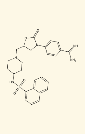 N=C(N)c1ccc(N2CC(CN3CCC(NS(=O)(=O)c4cccc5ccccc45)CC3)OC2=O)cc1